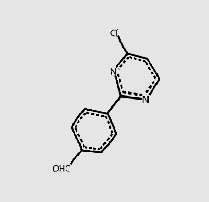 O=Cc1ccc(-c2nccc(Cl)n2)cc1